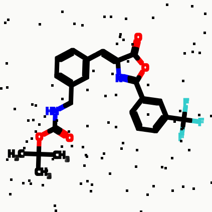 CC(C)(C)OC(=O)NCc1cccc(/C=C2\N=C(c3cccc(C(F)(F)F)c3)OC2=O)c1